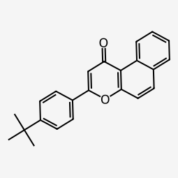 CC(C)(C)c1ccc(-c2cc(=O)c3c(ccc4ccccc43)o2)cc1